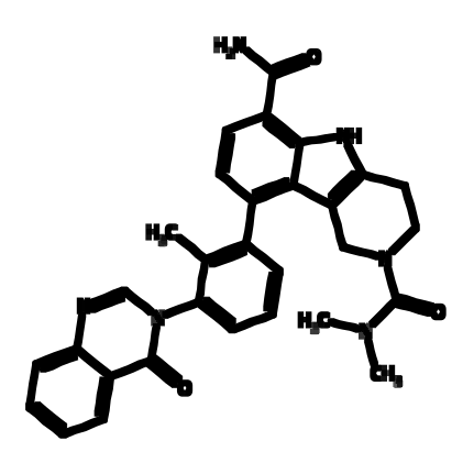 Cc1c(-c2ccc(C(N)=O)c3[nH]c4c(c23)CN(C(=O)N(C)C)CC4)cccc1-n1cnc2ccccc2c1=O